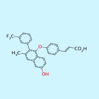 Cc1cc2cc(O)ccc2c(Oc2ccc(/C=C/C(=O)O)cc2)c1-c1cccc(C(F)(F)F)c1